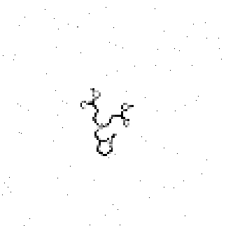 COC(=O)CCN(CCC(=O)OC)CC1CCCN1C